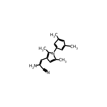 Cc1cc(C)cc(-n2c(C)cc(/C=C(/N)C#N)c2C)c1